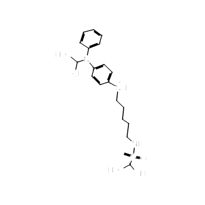 CC(C)N(c1ccccc1)c1ccc(NCCCCCNS(=O)(=O)C(C)C)cc1